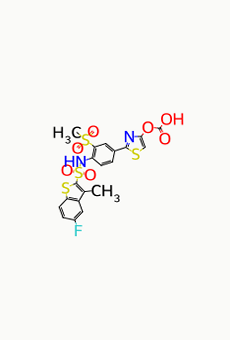 Cc1c(S(=O)(=O)Nc2ccc(-c3nc(OC(=O)O)cs3)cc2S(C)(=O)=O)sc2ccc(F)cc12